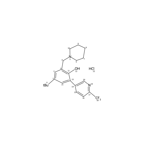 CC(C)(C)c1cc(CN2CCCCC2)c(O)c(-c2ccc(C(F)(F)F)nc2)c1.Cl